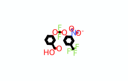 O=C(O)c1cccc(OC(F)(F)Oc2ccc(C(F)(F)F)cc2[N+](=O)[O-])c1